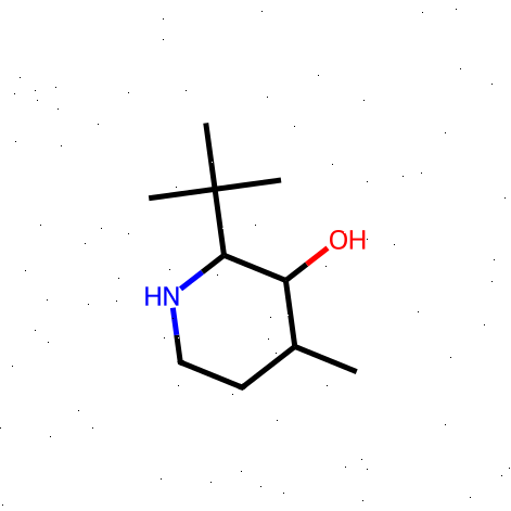 CC1CCNC(C(C)(C)C)C1O